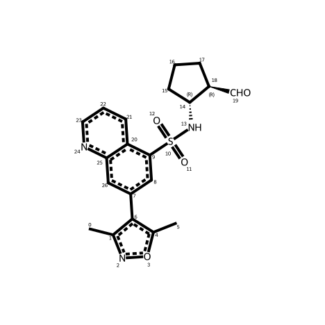 Cc1noc(C)c1-c1cc(S(=O)(=O)N[C@@H]2CCC[C@H]2C=O)c2cccnc2c1